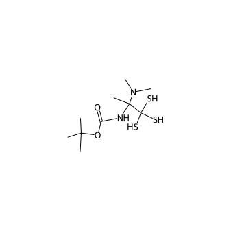 CN(C)C(C)(NC(=O)OC(C)(C)C)C(S)(S)S